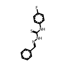 Fc1ccc(NC(=S)NN=Cc2ccccc2)cc1